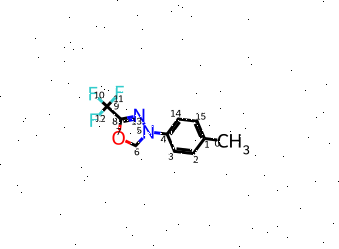 Cc1ccc(N2COC(C(F)(F)F)=N2)cc1